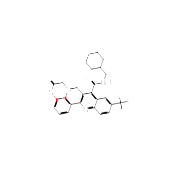 C[C@H](NC(=O)c1c(CN2CCNC(=O)C2)c(-c2ccccc2)nc2ccc(C(F)(F)F)cc12)C1CCCCC1